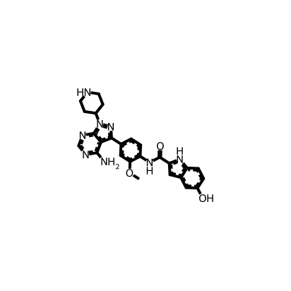 COc1cc(-c2nn(C3CCNCC3)c3ncnc(N)c23)ccc1NC(=O)c1cc2cc(O)ccc2[nH]1